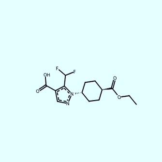 CCOC(=O)[C@H]1CC[C@H](n2ncc(C(=O)O)c2C(F)F)CC1